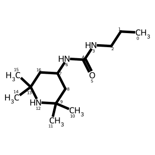 CCCNC(=O)NC1CC(C)(C)NC(C)(C)C1